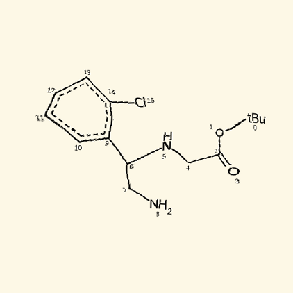 CC(C)(C)OC(=O)CNC(CN)c1ccccc1Cl